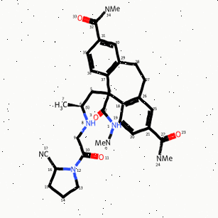 CNNC(=O)C1(C[C@H](C)NCC(=O)N2CCCC2C#N)c2ccc(C(=O)NC)cc2CCc2cc(C(=O)NC)ccc21